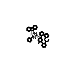 CCC(Cc1ccccc1)c1ccccc1-c1cc2c3ccccc3n(-c3nc(-c4ccccc4)nc(-n4c5ccccc5c5ccccc54)n3)c2cc1C